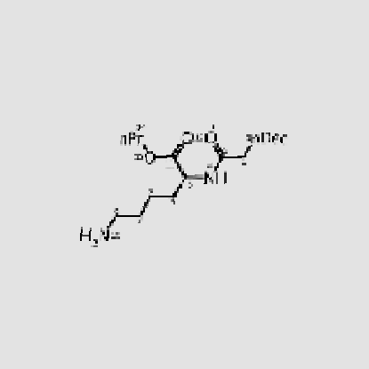 CCCCCCCCCCCC(=O)N[C@@H](CCCCN)C(=O)OCCC